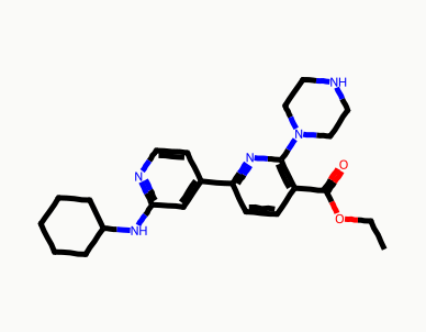 CCOC(=O)c1ccc(-c2ccnc(NC3CCCCC3)c2)nc1N1CCNCC1